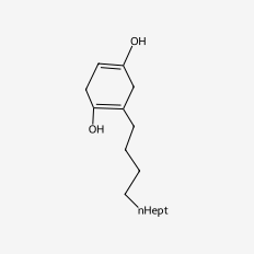 CCCCCCCCCCCC1=C(O)CC=C(O)C1